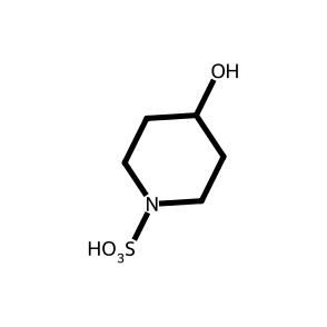 O=S(=O)(O)N1CCC(O)CC1